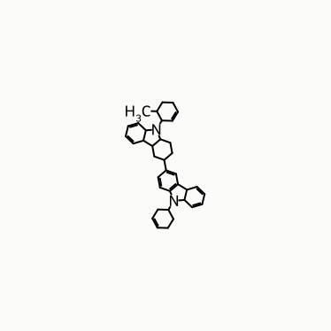 CC1CCC=CC1N1C2C=CC=CC2C2CC(c3ccc4c(c3)C3C=CC=CC3N4C3CC=CCC3)CCC21